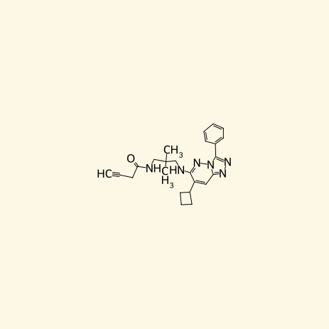 C#CCC(=O)NCC(C)(C)CNc1nn2c(-c3ccccc3)nnc2cc1C1CCC1